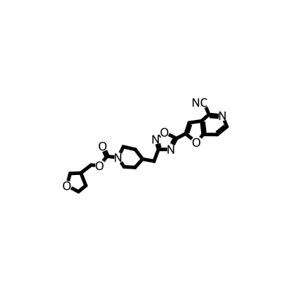 N#Cc1nccc2oc(-c3nc(CC4CCN(C(=O)OCC5CCOC5)CC4)no3)cc12